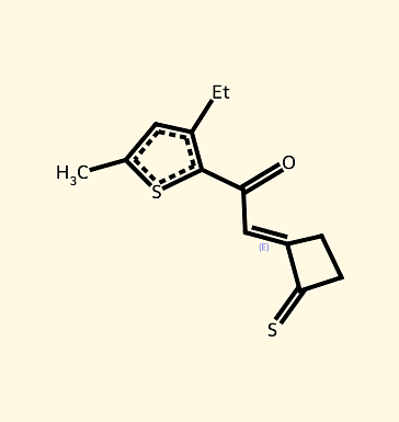 CCc1cc(C)sc1C(=O)/C=C1\CCC1=S